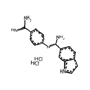 Cl.Cl.N=C(N)c1ccc(N=C(N)c2ccc3cc[nH]c3c2)cc1